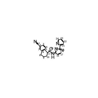 N#Cc1ccc2c(c1)CCCC2C(=O)Nc1ccnc(-c2ccccn2)n1